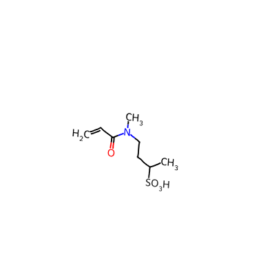 C=CC(=O)N(C)CCC(C)S(=O)(=O)O